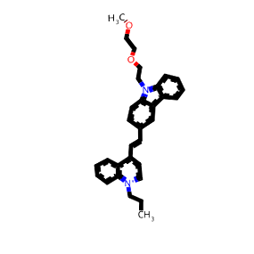 CCC[n+]1ccc(/C=C/c2ccc3c(c2)c2ccccc2n3CCOCCOC)c2ccccc21